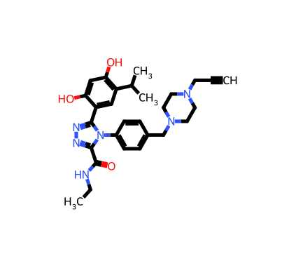 C#CCN1CCN(Cc2ccc(-n3c(C(=O)NCC)nnc3-c3cc(C(C)C)c(O)cc3O)cc2)CC1